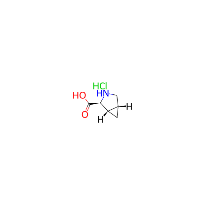 Cl.O=C(O)[C@H]1NC[C@@H]2C[C@@H]21